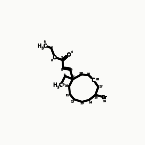 CCOC(=O)/C=C/C1(CC)CCCCCC(Br)CCCC1